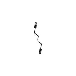 C#CCSCCC#N